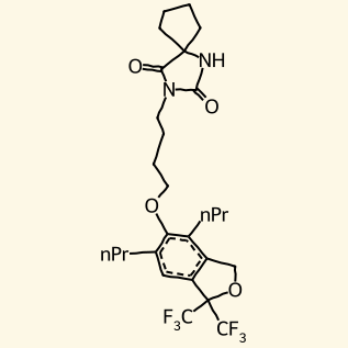 CCCc1cc2c(c(CCC)c1OCCCCN1C(=O)NC3(CCCC3)C1=O)COC2(C(F)(F)F)C(F)(F)F